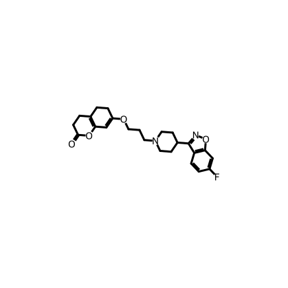 O=C1CCC2=C(C=C(OCCCN3CCC(c4noc5cc(F)ccc45)CC3)CC2)O1